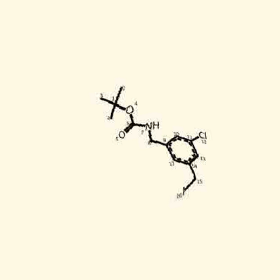 CC(C)(C)OC(=O)NCc1cc(Cl)cc(CI)c1